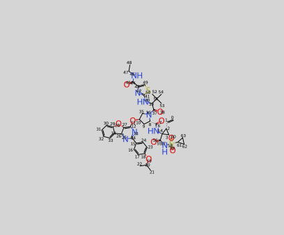 C=C[C@@H]1C[C@]1(NC(=O)[C@@H]1C[C@@H](Oc2nc(-c3ccc(OC(C)C)cc3)nc3c2oc2ccccc23)CN1C(=O)[C@@H](Nc1nc(C(=O)NCC)cs1)C(C)(C)C)C(=O)NS(=O)(=O)C1CC1